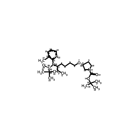 CCC(CCCCO[C@@H]1CCN(C(=O)OC(C)(C)C)C1)N(c1ncccc1C)[S@+]([O-])C(C)(C)C